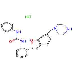 Cl.O=C(Nc1ccccc1)Nc1ccccc1-c1cc2ccc(CN3CCNCC3)cc2o1